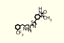 Cn1c(=O)[nH]c2ccc(-c3cnc(NCC(N)Cc4cccc(C(F)(F)F)c4)s3)cc21